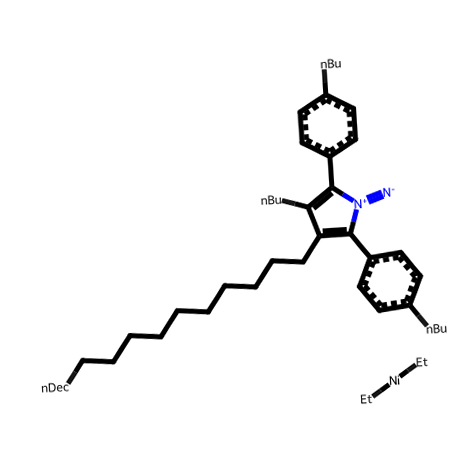 CCCCCCCCCCCCCCCCCCCCC1=C(c2ccc(CCCC)cc2)[N+](=[N-])C(c2ccc(CCCC)cc2)=C1CCCC.C[CH2][Ni][CH2]C